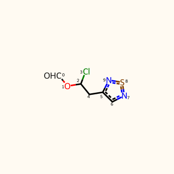 O=COC(Cl)Cc1cnsn1